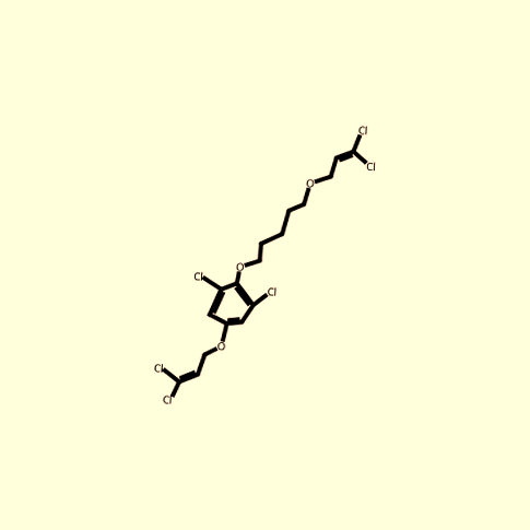 ClC(Cl)=CCOCCCCCOc1c(Cl)cc(OCC=C(Cl)Cl)cc1Cl